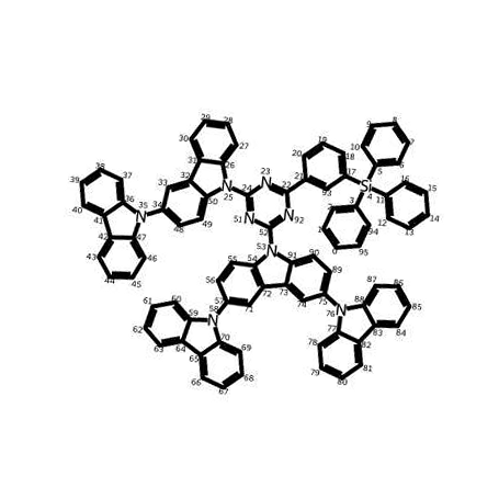 c1ccc([Si](c2ccccc2)(c2ccccc2)c2cccc(-c3nc(-n4c5ccccc5c5cc(-n6c7ccccc7c7ccccc76)ccc54)nc(-n4c5ccc(-n6c7ccccc7c7ccccc76)cc5c5cc(-n6c7ccccc7c7ccccc76)ccc54)n3)c2)cc1